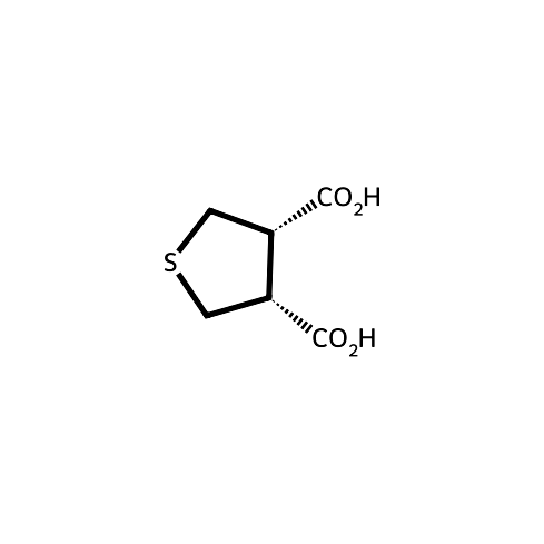 O=C(O)[C@H]1CSC[C@H]1C(=O)O